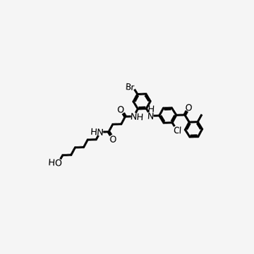 Cc1ccccc1C(=O)c1ccc(Nc2ccc(Br)cc2NC(=O)CCC(=O)NCCCCCCO)cc1Cl